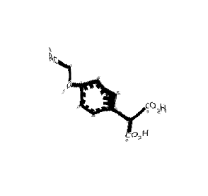 CC(=O)COc1ccc(C(C(=O)O)C(=O)O)cc1